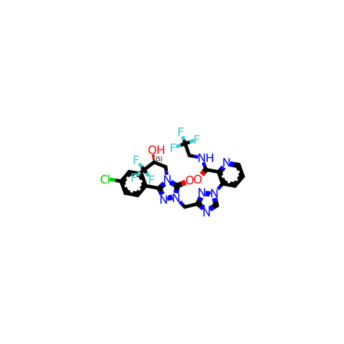 O=C(NCC(F)(F)F)c1ncccc1-n1cnc(Cn2nc(-c3ccc(Cl)cc3)n(C[C@H](O)C(F)(F)F)c2=O)n1